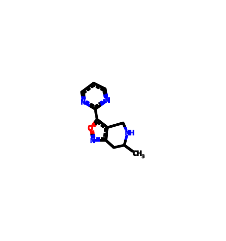 CC1Cc2noc(-c3ncccn3)c2CN1